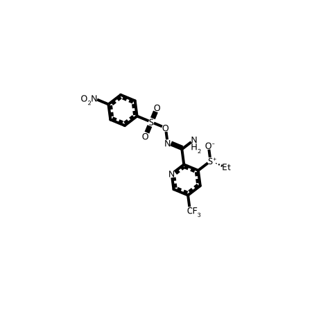 CC[S@@+]([O-])c1cc(C(F)(F)F)cnc1/C(N)=N/OS(=O)(=O)c1ccc([N+](=O)[O-])cc1